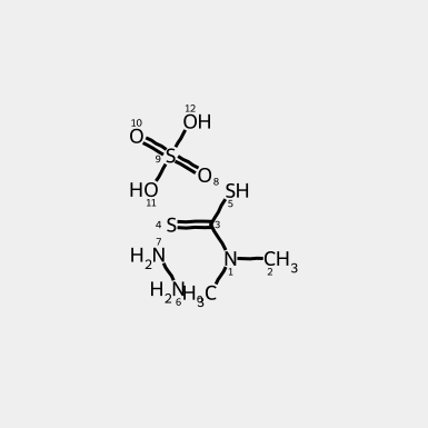 CN(C)C(=S)S.NN.O=S(=O)(O)O